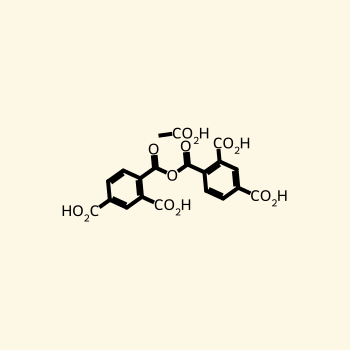 CC(=O)O.O=C(O)c1ccc(C(=O)OC(=O)c2ccc(C(=O)O)cc2C(=O)O)c(C(=O)O)c1